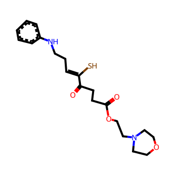 O=C(CCC(=O)/C(S)=C/CCNc1ccccc1)OCCN1CCOCC1